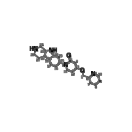 O=c1cc(OCc2ccccn2)ccn1-c1ccc2c3c([nH]c2c1)CNCC3